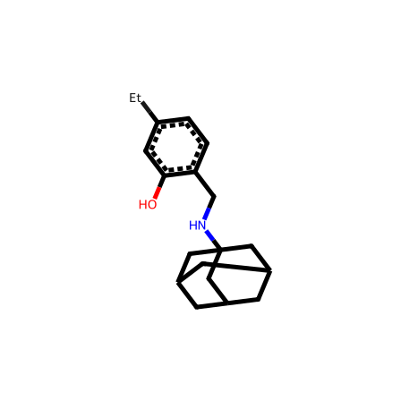 CCc1ccc(CNC23CC4CC(CC(C4)C2)C3)c(O)c1